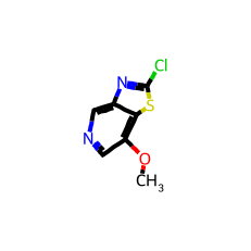 COc1cncc2nc(Cl)sc12